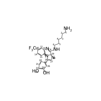 NCCCCCCNc1nc2cc(C(F)(F)F)ccc2n2c(-c3ccc(O)c(O)c3)cnc12